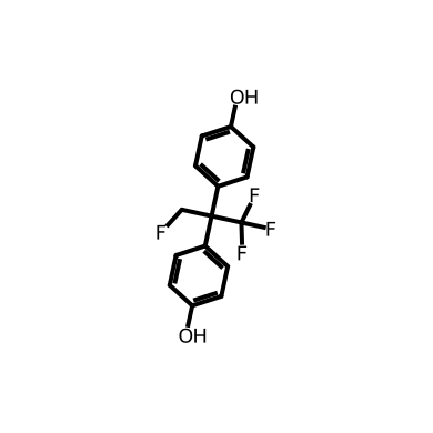 Oc1ccc(C(CF)(c2ccc(O)cc2)C(F)(F)F)cc1